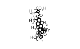 CC(C)C1=C2[C@H]3CCC4[C@@]5(C)CC[C@H](OC(=O)[C@H]6C[C@@H](C(=O)O)C6(C)C)C(C)(C)C5CC[C@@]4(C)[C@]3(C)CC[C@@]2(C(=O)N2CCC[C@H]2C(C)(C)O)CC1=O